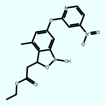 CCOC(=O)CC1OB(O)c2cc(Oc3cc([N+](=O)[O-])ccn3)cc(C)c21